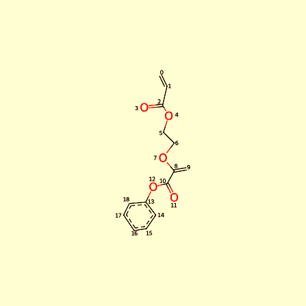 C=CC(=O)OCCOC(=C)C(=O)Oc1ccccc1